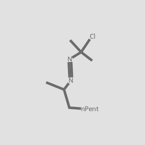 CCCCCCC(C)N=NC(C)(C)Cl